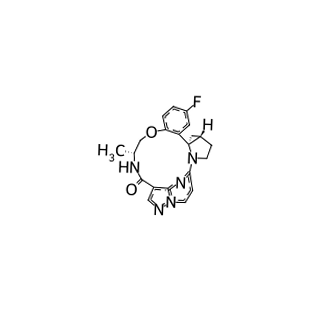 C[C@@H]1COc2ccc(F)cc2[C@@]23C[C@@H]2CCN3c2ccn3ncc(c3n2)C(=O)N1